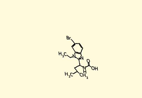 CCn1c(C(CC(C)C)NC(=O)O)nc2ccc(Br)cc21